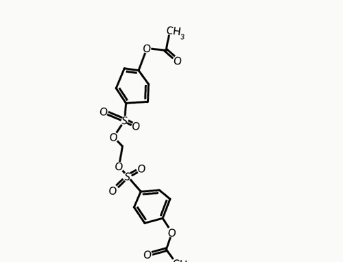 CC(=O)Oc1ccc(S(=O)(=O)OCOS(=O)(=O)c2ccc(OC(C)=O)cc2)cc1